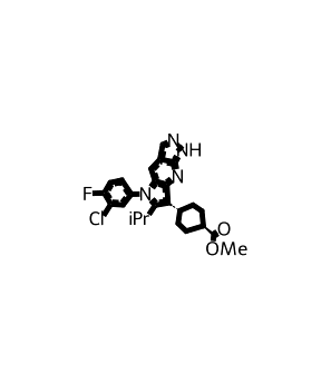 COC(=O)[C@H]1CC[C@H](c2c(C(C)C)n(-c3ccc(F)c(Cl)c3)c3cc4cn[nH]c4nc32)CC1